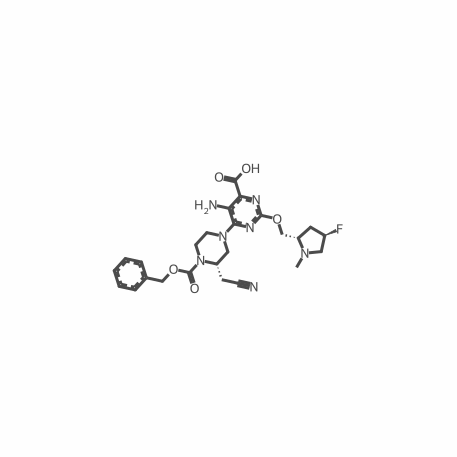 CN1C[C@H](F)C[C@H]1COc1nc(C(=O)O)c(N)c(N2CCN(C(=O)OCc3ccccc3)[C@@H](CC#N)C2)n1